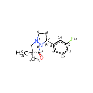 CC1(C)CN2CC[C@H](c3cccc(F)c3)N2C1=O